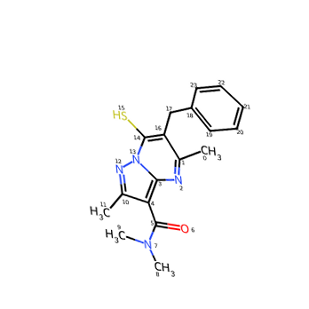 Cc1nc2c(C(=O)N(C)C)c(C)nn2c(S)c1Cc1ccccc1